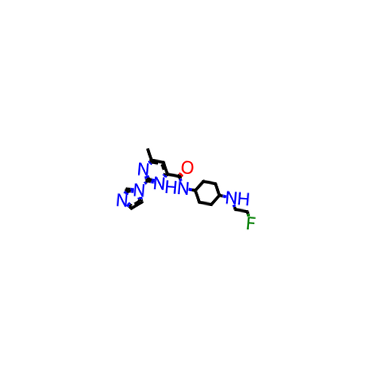 Cc1cc(C(=O)NC2CCC(NCCF)CC2)nc(-n2ccnc2)n1